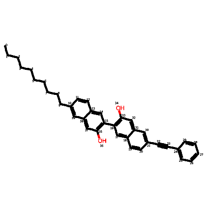 CCCCCCCCCCc1ccc2cc(-c3cc4ccc(C#Cc5ccccc5)cc4cc3O)c(O)cc2c1